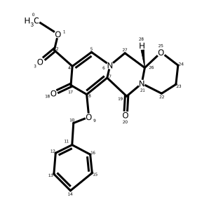 COC(=O)c1cn2c(c(OCc3ccccc3)c1=O)C(=O)N1CCCO[C@H]1C2